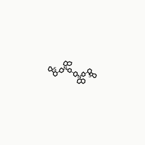 c1ccc2c(N(c3ccc(-c4ccc(N(c5ccc(-c6cccc7c6sc6ccccc67)cc5)c5cccc6ccccc56)cc4)cc3)c3ccc(-c4cccc5c4sc4ccccc45)cc3)cccc2c1